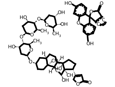 C[C@H]1O[C@@H](O[C@H]2[C@@H](O)C[C@H](O[C@H]3[C@@H](O)C[C@H](O[C@H]4CC[C@@]5(C)[C@H](CC[C@@H]6[C@@H]5C[C@@H](O)[C@]5(C)[C@@H](C7=CC(=O)OC7)CC[C@]65O)C4)O[C@@H]3C)O[C@@H]2C)C[C@H](O)[C@@H]1O.O=C1OC2(c3ccc(O)cc3Oc3cc(O)ccc32)c2ccccc21